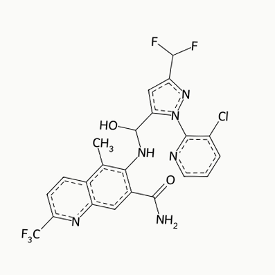 Cc1c(NC(O)c2cc(C(F)F)nn2-c2ncccc2Cl)c(C(N)=O)cc2nc(C(F)(F)F)ccc12